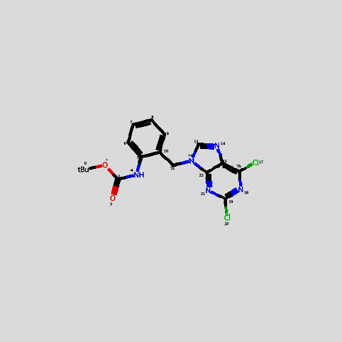 CC(C)(C)OC(=O)Nc1ccccc1Cn1cnc2c(Cl)nc(Cl)nc21